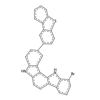 Brc1cccc2c1[nH]c1c2ccc2[nH]c3ccc(-c4ccc5sc6ccccc6c5c4)cc3c21